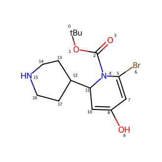 CC(C)(C)OC(=O)N1C(Br)=CC(O)=CC1C1CCNCC1